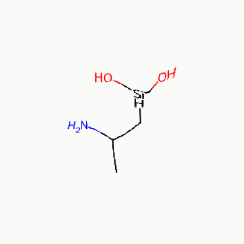 CC(N)C[SiH](O)O